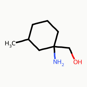 CC1CCCC(N)(CO)C1